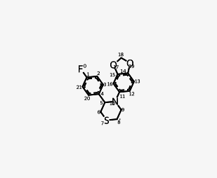 Fc1ccc(C2CS[CH]CN2c2ccc3c(c2)OCO3)cc1